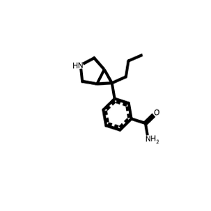 CCCC1(c2cccc(C(N)=O)c2)C2CNCC21